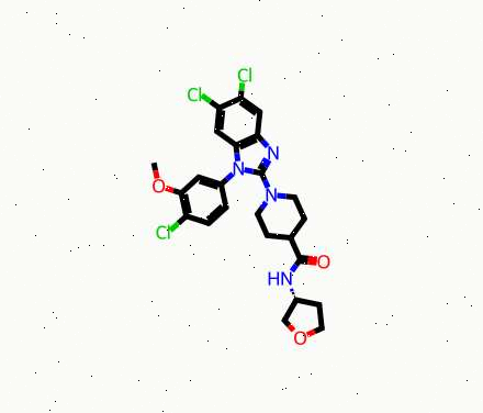 COc1cc(-n2c(N3CCC(C(=O)N[C@@H]4CCOC4)CC3)nc3cc(Cl)c(Cl)cc32)ccc1Cl